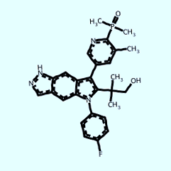 Cc1cc(-c2c(C(C)(C)CO)n(-c3ccc(F)cc3)c3cc4cn[nH]c4cc23)cnc1P(C)(C)=O